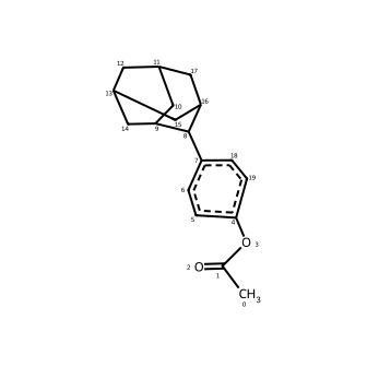 CC(=O)Oc1ccc(C2C3CC4CC(C3)CC2C4)cc1